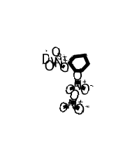 C1CCCCC1.O=[N+]([O-])[O-].O=[N+]([O-])[O-].O=[N+]([O-])[O-].[Dy+3]